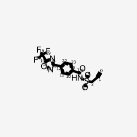 C#CCS(=O)(=O)NC(=O)c1ccc(-c2noc(C(F)(F)F)n2)cc1